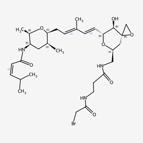 CC(/C=C/[C@H]1O[C@H](CNC(=O)CCNC(=O)CBr)C[C@@]2(CO2)[C@@H]1O)=C\C[C@@H]1O[C@H](C)[C@H](NC(=O)/C=C\C(C)C)C[C@@H]1C